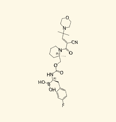 CC(C)(C=C(C#N)C(=O)N1CCCC[C@]1(C)COC(=O)N[C@@H](Cc1ccc(F)cc1)B(O)O)N1CCOCC1